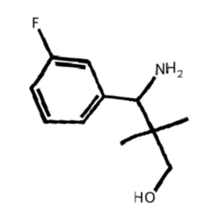 CC(C)(CO)C(N)c1cccc(F)c1